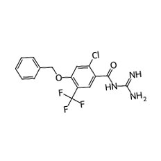 N=C(N)NC(=O)c1cc(C(F)(F)F)c(OCc2ccccc2)cc1Cl